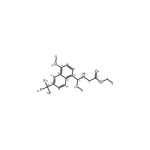 CCOC(=O)CNC(SC)c1ccc(OC)c2nc(C(F)(F)F)ccc12